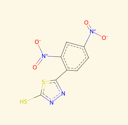 O=[N+]([O-])c1ccc(-c2nnc(S)s2)c([N+](=O)[O-])c1